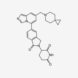 O=C1CCC(N2Cc3cc(-c4cc(CN5CCC6(CC5)CC6)cc5cncn45)ccc3C2=O)C(=O)N1